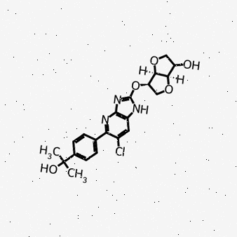 CC(C)(O)c1ccc(-c2nc3nc(O[C@@H]4CO[C@@H]5C(O)CO[C@@H]54)[nH]c3cc2Cl)cc1